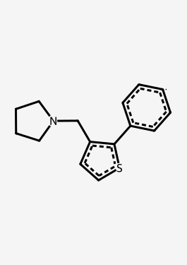 [c]1ccc(-c2sccc2CN2CCCC2)cc1